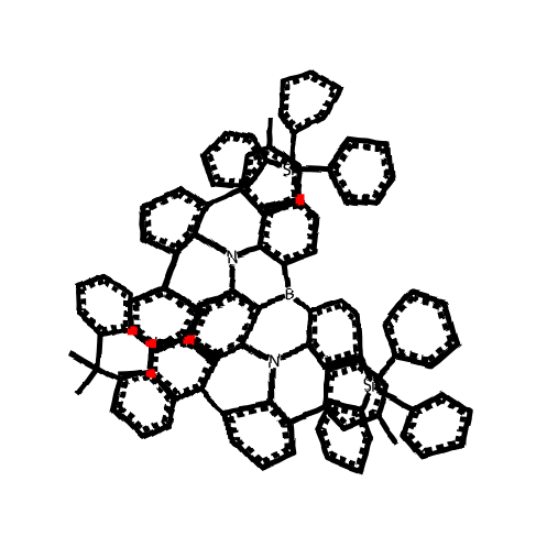 Cc1cccc(-c2cccc(-c3cccc(C)c3)c2N2c3cc([Si](c4ccccc4)(c4ccccc4)c4ccccc4)ccc3B3c4ccc([Si](c5ccccc5)(c5ccccc5)c5ccccc5)cc4N(c4c(-c5cccc(C)c5)cccc4-c4cccc(C)c4)c4cc(N5c6ccccc6C(C)(C)c6ccccc65)cc2c43)c1